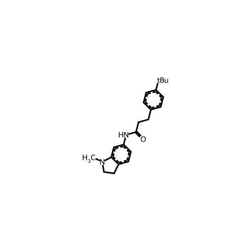 CN1CCc2ccc(NC(=O)CCc3ccc(C(C)(C)C)cc3)cc21